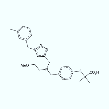 COCCN(Cc1ccc(SC(C)(C)C(=O)O)cc1)Cc1cn(Cc2cccc(C)c2)nn1